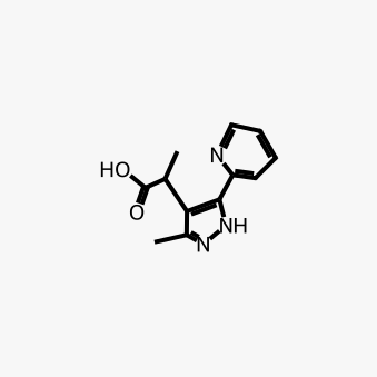 Cc1n[nH]c(-c2ccccn2)c1C(C)C(=O)O